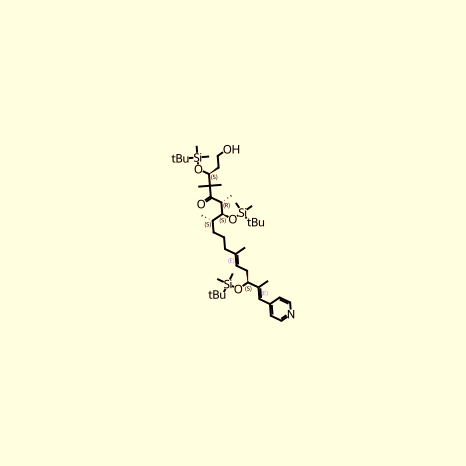 C/C(=C\C[C@H](O[Si](C)(C)C(C)(C)C)/C(C)=C/c1ccncc1)CCC[C@H](C)[C@H](O[Si](C)(C)C(C)(C)C)[C@@H](C)C(=O)C(C)(C)[C@H](CCO)O[Si](C)(C)C(C)(C)C